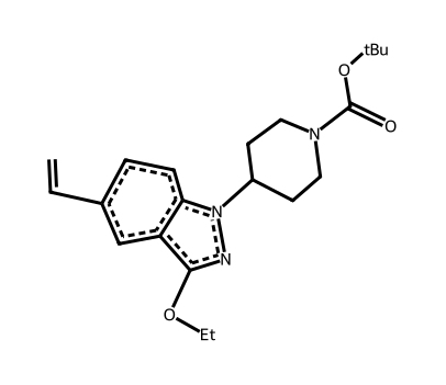 C=Cc1ccc2c(c1)c(OCC)nn2C1CCN(C(=O)OC(C)(C)C)CC1